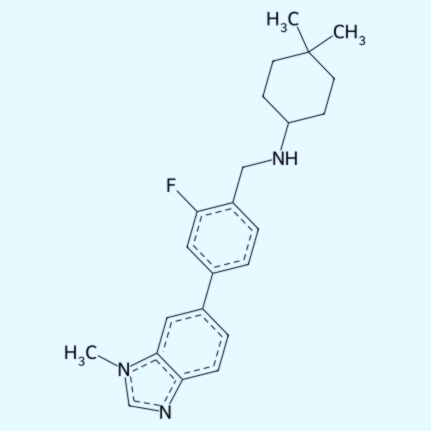 Cn1cnc2ccc(-c3ccc(CNC4CCC(C)(C)CC4)c(F)c3)cc21